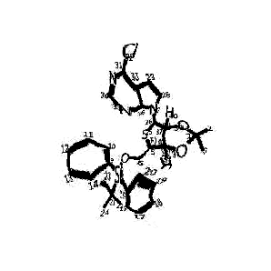 CC1(C)O[C@@H]2[C@@H](CO[Si](c3ccccc3)(c3ccccc3)C(C)(C)C)SC(n3ccc4c(Cl)ncnc43)[C@@H]2O1